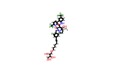 CC12CCCN1N(Cc1c(F)cc(C#CCCCCCOC[C@H](O)[C@@H](O)CO)cc1F)C(=O)C(C(=O)Nc1ccc(C(F)(F)F)cc1-c1ccc(C(F)(F)F)nc1)=C2O